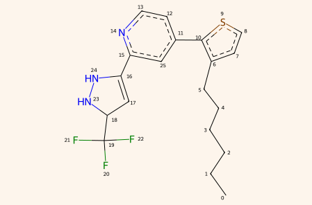 CCCCCCc1ccsc1-c1ccnc(C2=CC(C(F)(F)F)NN2)c1